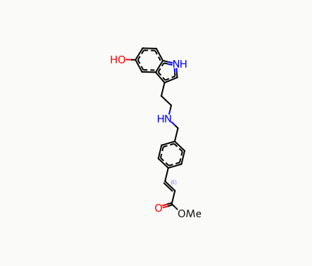 COC(=O)/C=C/c1ccc(CNCCc2c[nH]c3ccc(O)cc23)cc1